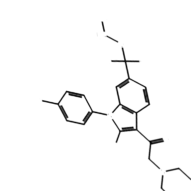 Cc1c(C(=O)CN2CCCCC2)c2ccc(C(C)(C)O[SiH2]C(C)(C)C)cc2n1-c1ccc(Cl)cc1